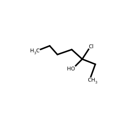 CCCCC(O)(Cl)CC